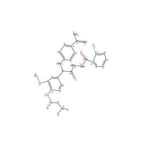 CCOc1cc(C(Nc2ccc(C(=N)N)cc2)C(=O)NNC(=O)c2ccccc2Cl)ccc1OC(C)CN(C)C